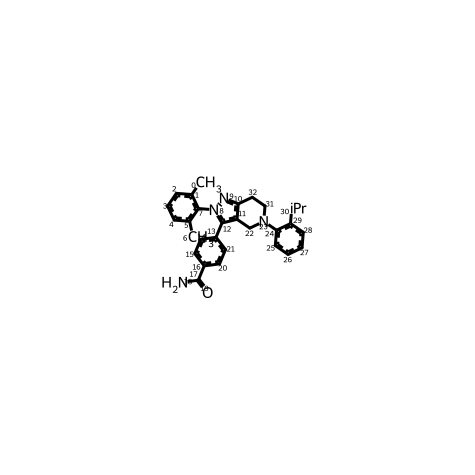 Cc1cccc(C)c1-n1nc2c(c1-c1ccc(C(N)=O)cc1)CN(c1ccccc1C(C)C)CC2